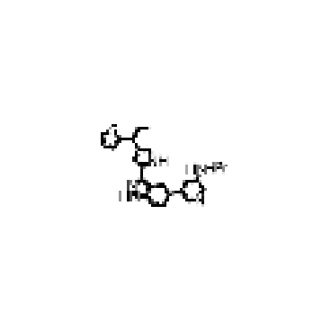 C/C=C(\c1c[nH]c(-c2n[nH]c3ccc(-c4cncc(NC(C)C)c4)cc23)c1)c1cccs1